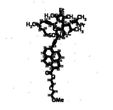 C=C(C)C(/N=C(/C)CCC)=C(\C1=CC=C(C#Cc2ccc3ccc4c(C(=O)OCCOCCOC)ccc5ccc2c3c54)CC1)c1c(C)c(CC)c(C)n1B(C)C#CCN(C)CCCS(=O)(=O)O